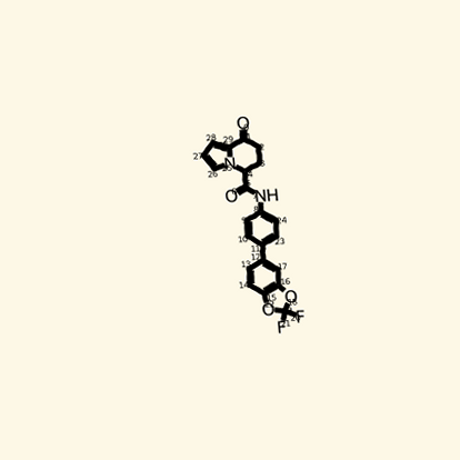 O=C1CCC(C(=O)Nc2ccc(-c3ccc4c(c3)OC(F)(F)O4)cc2)n2cccc21